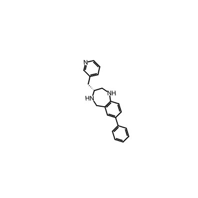 c1ccc(-c2ccc3c(c2)CN[C@H](Cc2cccnc2)CN3)cc1